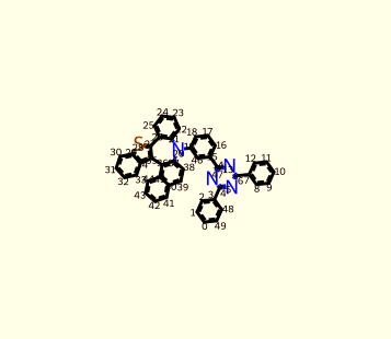 c1ccc(-c2nc(-c3ccccc3)nc(-c3cccc(N4c5ccccc5-c5sc6ccccc6c5-c5c4ccc4ccccc54)c3)n2)cc1